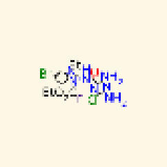 CCOC(=O)C[n+]1c(CNC(=O)c2nc(Cl)c(N)nc2N)n(CC)c2cc(Br)ccc21.[I-]